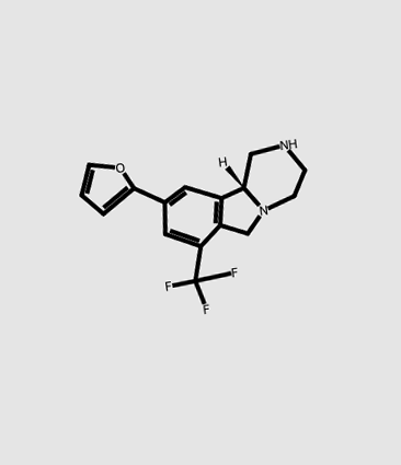 FC(F)(F)c1cc(-c2ccco2)cc2c1CN1CCNC[C@@H]21